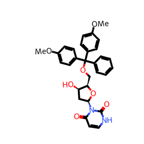 COc1ccc(C(OC[C@H]2O[C@@H](n3c(=O)cc[nH]c3=O)C[C@H]2O)(c2ccccc2)c2ccc(OC)cc2)cc1